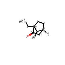 CC(C)C1[C@@H]2CC[C@@]1(CC(=O)O)C(=O)C2